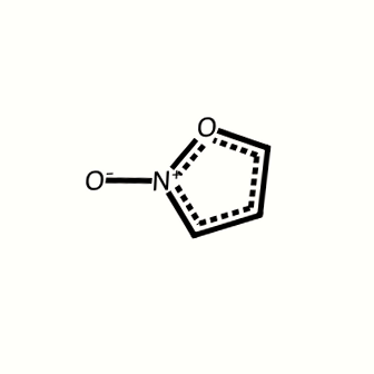 [O-][n+]1ccco1